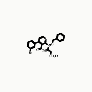 CCOC(=O)CC(=O)N(OCc1ccccc1)c1nccc(-c2cccc(Br)c2)c1C(=O)OC